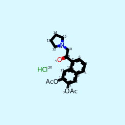 CC(=O)Oc1cc2cccc(C(=O)CN3CCCC3)c2cc1OC(C)=O.Cl